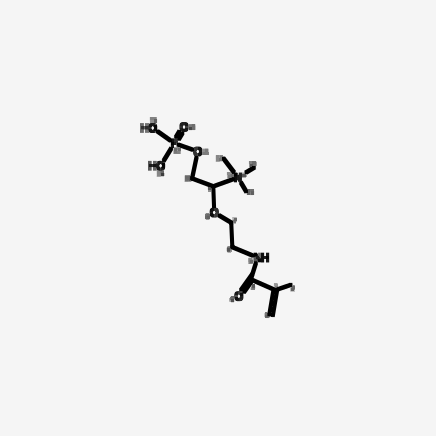 C=C(C)C(=O)NCCOC(COP(=O)(O)O)[N+](C)(C)C